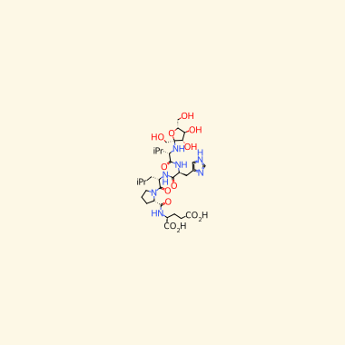 CC(C)C[C@H](NC(=O)[C@H](Cc1c[nH]cn1)NC(=O)[C@@H](N[C@@]1(CO)O[C@H](CO)[C@@H](O)[C@@H]1O)C(C)C)C(=O)N1CCC[C@H]1C(=O)N[C@@H](CCC(=O)O)C(=O)O